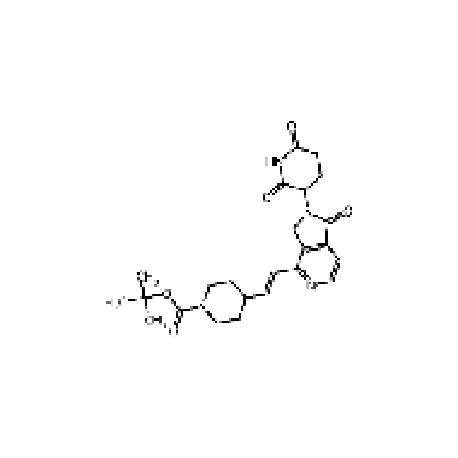 CC(C)(C)OC(=O)N1CCC(C=Cc2nccc3c2CN(C2CCC(=O)NC2=O)C3=O)CC1